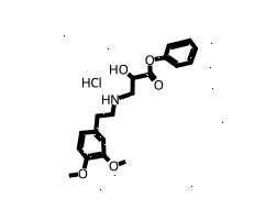 COc1ccc(CCNCC(O)C(=O)Oc2ccccc2)cc1OC.Cl